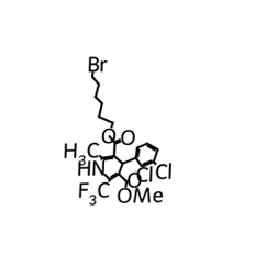 COC(=O)C1=C(C(F)(F)F)NC(C)=C(C(=O)OCCCCCCBr)C1c1cccc(Cl)c1Cl